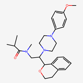 COc1ccc(N2CCN(C(CN(C)C(=O)C(C)C)C3OCCc4ccccc43)CC2)cc1